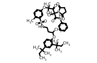 CCC(C)(C)c1ccc(OC(C)CCNS(=O)(=O)c2cc(OC(C)(C)C(=O)C(Cl)(C(=O)Nc3ccccc3)N3C(=O)CCC3=O)ccc2C)c(C(C)(C)CC)c1